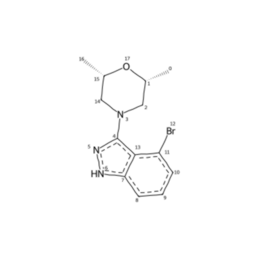 C[C@@H]1CN(c2n[nH]c3cccc(Br)c23)C[C@H](C)O1